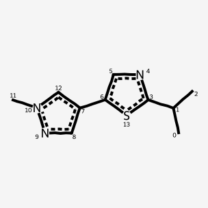 CC(C)c1ncc(-c2cnn(C)c2)s1